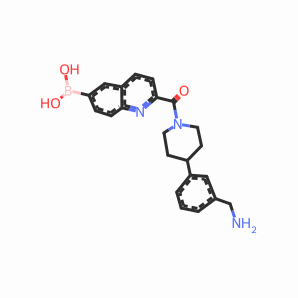 NCc1cccc(C2CCN(C(=O)c3ccc4cc(B(O)O)ccc4n3)CC2)c1